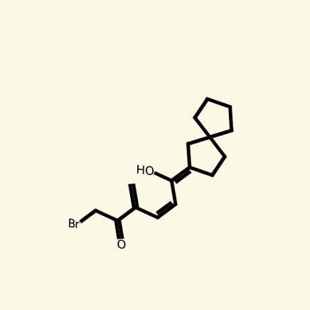 C=C(/C=C\C(O)=C1/CCC2(CCCC2)C1)C(=O)CBr